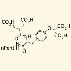 CCCCCNC(=O)C(Cc1ccc(OC(C(=O)O)C(=O)O)cc1)NC(=O)C(CC(=O)O)CC(=O)O